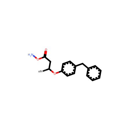 CCCC(CC(=O)ON)Oc1ccc(Cc2ccccc2)cc1